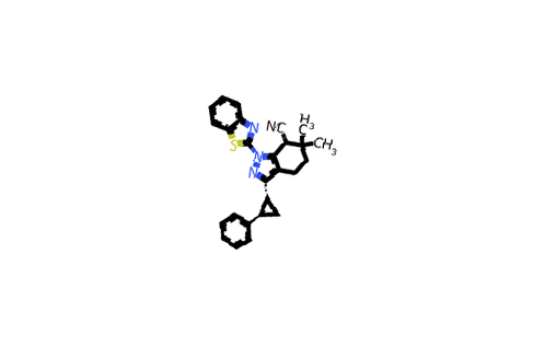 CC1(C)CCc2c([C@@H]3C[C@H]3c3ccccc3)nn(-c3nc4ccccc4s3)c2C1C#N